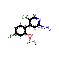 COc1cc(F)ccc1-c1cc(N)ncc1Cl